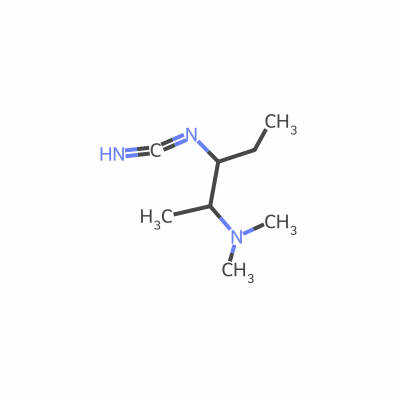 CCC(N=C=N)C(C)N(C)C